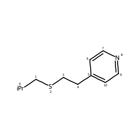 CC(C)CSCCc1ccncc1